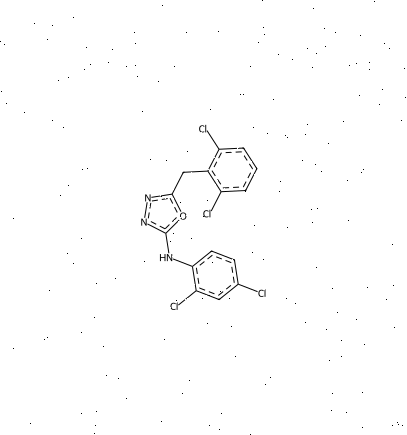 Clc1ccc(Nc2nnc(Cc3c(Cl)cccc3Cl)o2)c(Cl)c1